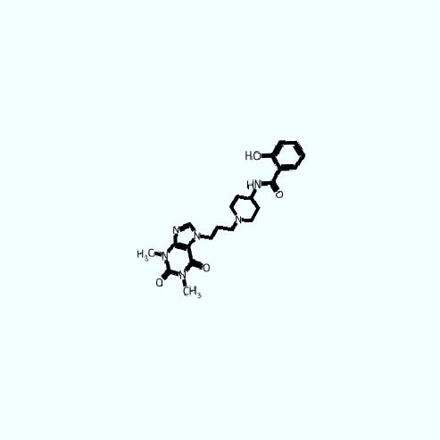 Cn1c(=O)c2c(ncn2CCCN2CCC(NC(=O)c3ccccc3O)CC2)n(C)c1=O